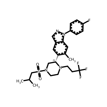 Cc1cc2c(cnn2-c2ccc(F)cc2)cc1[C@H]1CN(S(=O)(=O)CC(C)C)CCN1CCC(F)(F)F